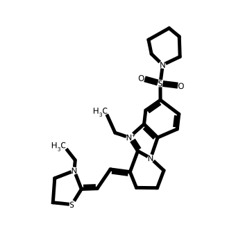 CCN1CCSC1=CC=C1CCCn2c1[n+](CC)c1cc(S(=O)(=O)N3CCCCC3)ccc12